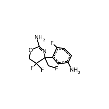 NC1=NC(CF)(c2cc(N)ccc2F)C(F)(F)CO1